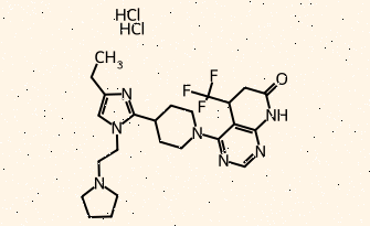 CCc1cn(CCN2CCCC2)c(C2CCN(c3ncnc4c3C(C(F)(F)F)CC(=O)N4)CC2)n1.Cl.Cl